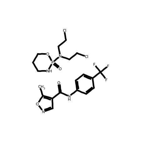 Cc1oncc1C(=O)Nc1ccc(C(F)(F)F)cc1.O=P1(N(CCCl)CCCl)NCCCO1